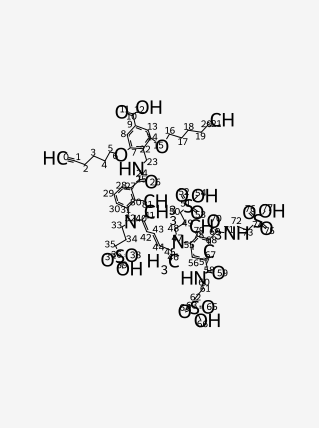 C#CCCCCOc1cc(C(=O)O)cc(OCCCCC#C)c1CNC(=O)c1cccc(N(CCCS(=O)(=O)O)/C(C)=C/C=C/C(C)N(CCCS(=O)(=O)O)c2cc(C(=O)NCCS(=O)(=O)O)cc(C(=O)NCCS(=O)(=O)O)c2C)c1C